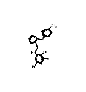 Cc1ccc(Sc2ccccc2CNc2cc(Br)cc(F)c2O)cc1